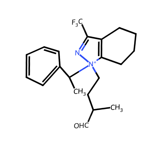 CC(C=O)CC[N+]1(C(C)c2ccccc2)N=C(C(F)(F)F)C2=C1CCCC2